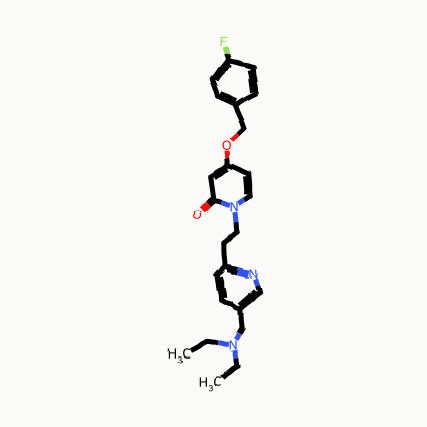 CCN(CC)Cc1ccc(CCn2ccc(OCc3ccc(F)cc3)cc2=O)nc1